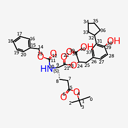 CC(C)(C)OC(=O)CC[C@H](NC(=O)OCc1ccccc1)C(=O)OC(Cc1ccc(O)c(C2CCCC2)c1)C(=O)O